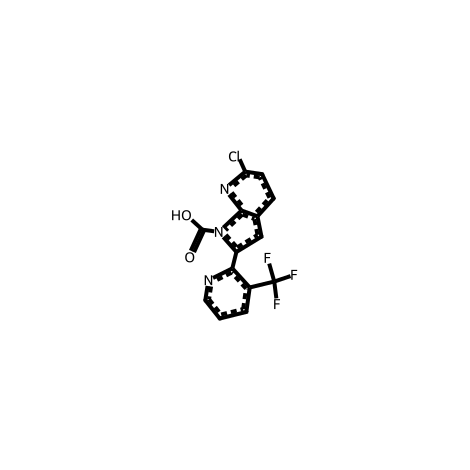 O=C(O)n1c(-c2ncccc2C(F)(F)F)cc2ccc(Cl)nc21